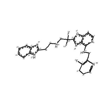 FC1=C(CNc2nccc3oc(C(F)(F)CNCCc4nc5ccccc5[nH]4)nc23)N=CCC1